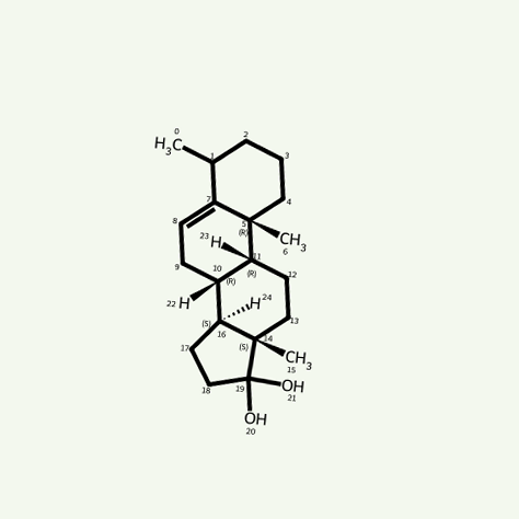 CC1CCC[C@@]2(C)C1=CC[C@@H]1[C@H]2CC[C@@]2(C)[C@H]1CCC2(O)O